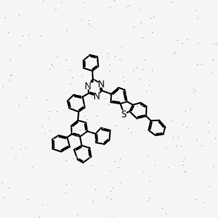 c1ccc(-c2ccc3c(c2)sc2cc(-c4nc(-c5ccccc5)nc(-c5cccc(-c6cc(-c7ccccc7)c(-c7ccccc7)c(-c7ccccc7)c6)c5)n4)ccc23)cc1